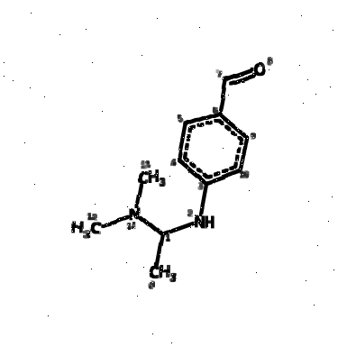 CC(Nc1ccc(C=O)cc1)N(C)C